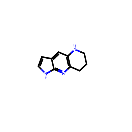 c1cc2cc3c(nc2[nH]1)CCCN3